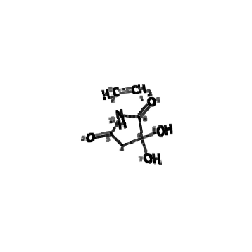 C=C.O=C1CC(O)(O)C(=O)N1